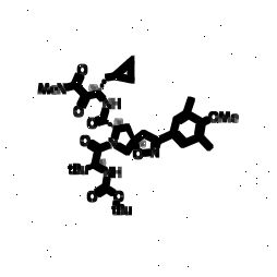 CNC(=O)C(=O)[C@H](CC1CC1)NC(=O)[C@@H]1C[C@]2(CC(c3cc(C)c(OC)c(C)c3)=NO2)CN1C(=O)[C@@H](NC(=O)OC(C)(C)C)C(C)(C)C